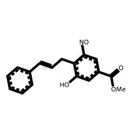 COC(=O)c1cc(O)c(C/C=C/c2ccccc2)c(N=O)c1